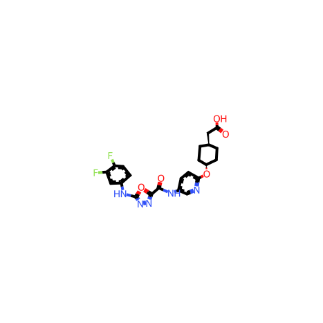 O=C(O)C[C@H]1CC[C@H](Oc2ccc(NC(=O)c3nnc(Nc4ccc(F)c(F)c4)o3)cn2)CC1